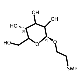 CSCCO[C@H]1OC(CO)[C@H](O)C(O)C1O